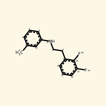 Cc1cccc(NCCc2cccc(F)c2F)c1